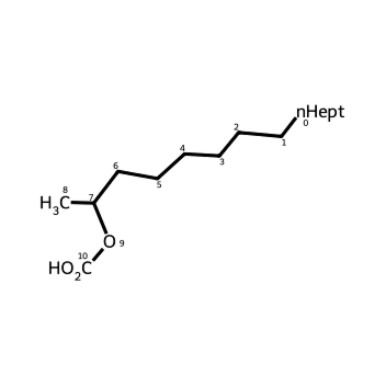 CCCCCCCCCCCCCC(C)OC(=O)O